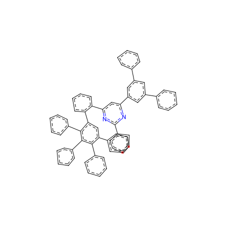 c1ccc(-c2cc(-c3ccccc3)cc(-c3cc(-c4ccccc4-c4cc(-c5ccccc5)c(-c5ccccc5)c(-c5ccccc5)c4-c4ccccc4)nc(-c4ccccc4)n3)c2)cc1